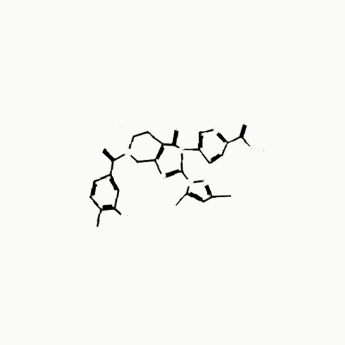 CNC(=O)c1ccc(-n2c(-n3nc(C)cc3C)nc3c(c2=O)C[C@@H](C)N(C(=O)c2ccc(Br)c(C(F)(F)F)c2)C3)cn1